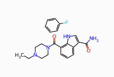 CCN1CCN(C(=O)c2cccc3c(C(N)=O)c[nH]c23)CC1.Fc1ccccc1